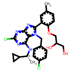 Cc1ccc(OCC(O)CO)c(-c2nc3nc(Cl)nc(N[C@H](C)C4CC4)c3n2Cc2ccc(Cl)cc2)c1